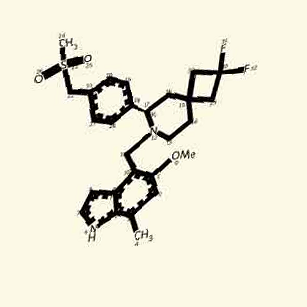 COc1cc(C)c2[nH]ccc2c1CN1CCC2(C[C@@H]1c1ccc(CS(C)(=O)=O)cc1)CC(F)(F)C2